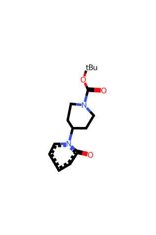 CC(C)(C)OC(=O)N1CCC(n2ccccc2=O)CC1